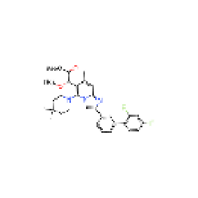 COC(=O)[C@@H](OC(C)(C)C)c1c(C)cc2nc(-c3cccc(-c4ccc(F)cc4F)c3)cn2c1N1CCC(C)(C)CC1